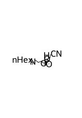 CCCCCCN(C)CCCO[PH](=O)OCCC#N